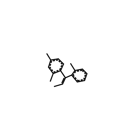 CC=C(c1ccccc1C)c1ccc(C)cc1C